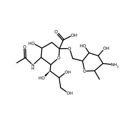 CC(=O)NC1C(O)CC(OCC2OC(C)C(N)C(O)C2O)(C(=O)O)OC1[C@H](O)C(O)CO